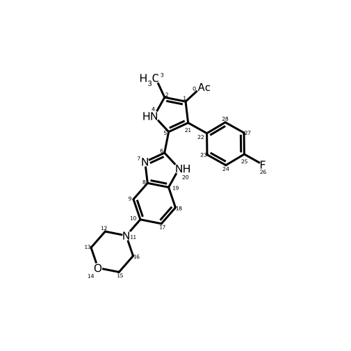 CC(=O)c1c(C)[nH]c(-c2nc3cc(N4CCOCC4)ccc3[nH]2)c1-c1ccc(F)cc1